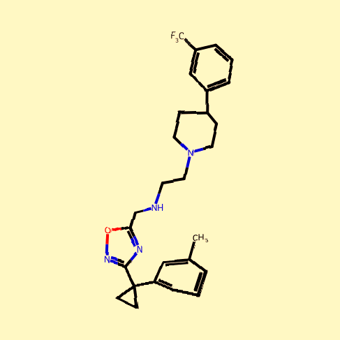 Cc1cccc(C2(c3noc(CNCCN4CCC(c5cccc(C(F)(F)F)c5)CC4)n3)CC2)c1